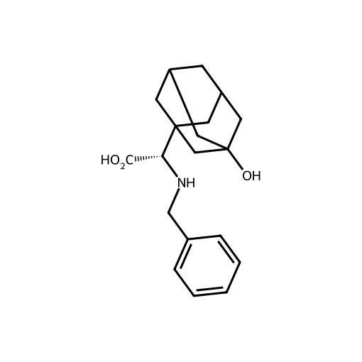 O=C(O)[C@@H](NCc1ccccc1)C12CC3CC(CC(O)(C3)C1)C2